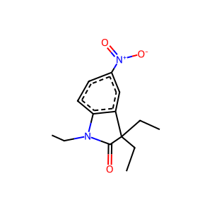 CCN1C(=O)C(CC)(CC)c2cc([N+](=O)[O-])ccc21